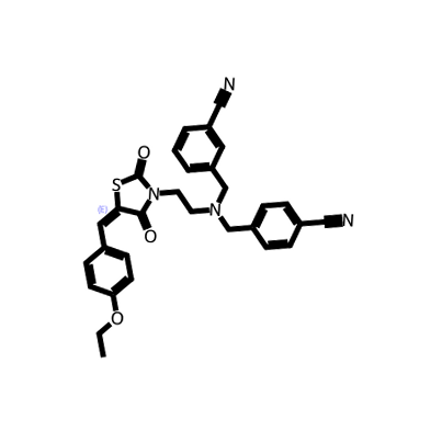 CCOc1ccc(/C=C2/SC(=O)N(CCN(Cc3ccc(C#N)cc3)Cc3cccc(C#N)c3)C2=O)cc1